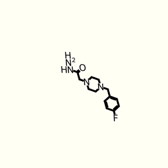 NNC(=O)CN1CCN(Cc2ccc(F)cc2)CC1